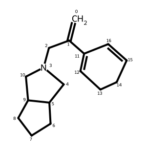 C=C(CN1CC2CCCC2C1)C1=CCCC=C1